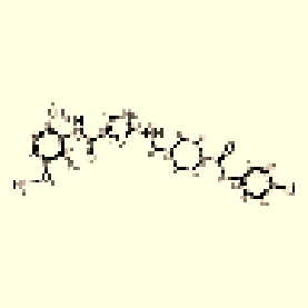 COc1ccc(C)c(NC(=O)c2cnc(NCC3CCN(C(=O)Cc4ccc(Cl)cc4)CC3)s2)c1C